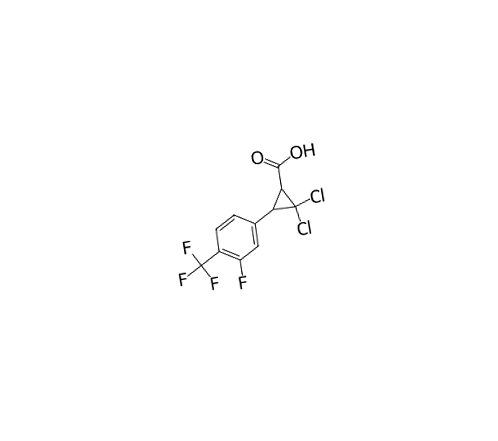 O=C(O)C1C(c2ccc(C(F)(F)F)c(F)c2)C1(Cl)Cl